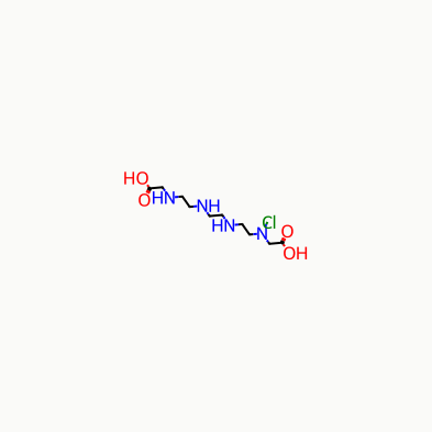 O=C(O)CNCCNCCNCCN(Cl)CC(=O)O